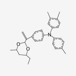 C=C(c1ccc(N(c2ccc(C)cc2)c2ccc(C)c(C)c2)cc1)C1OC(C)CC(CC)O1